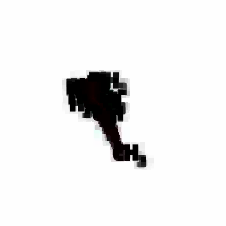 CCC/C=C/C/C=C/C/C=C/C/C=C/C/C=C/CCC(=O)SCCNC(=O)CCNC(=O)[C@H](O)C(C)(C)COP(=O)(O)OP(=O)(O)OC[C@H]1O[C@@H](n2cnc3c(N)ncnc32)[C@H](O)[C@@H]1OP(=O)(O)O